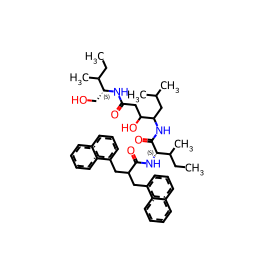 CCC(C)[C@H](NC(=O)C(Cc1cccc2ccccc12)Cc1cccc2ccccc12)C(=O)NC(CC(C)C)C(O)CC(=O)N[C@H](CO)C(C)CC